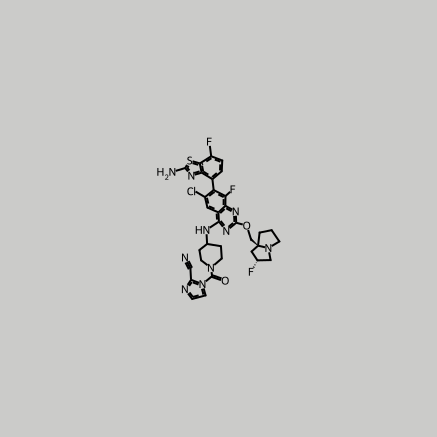 N#Cc1nccn1C(=O)N1CCC(Nc2nc(OC[C@@]34CCCN3C[C@H](F)C4)nc3c(F)c(-c4ccc(F)c5sc(N)nc45)c(Cl)cc23)CC1